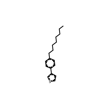 CCCCCCCCc1ccc(-c2ccsc2)cc1